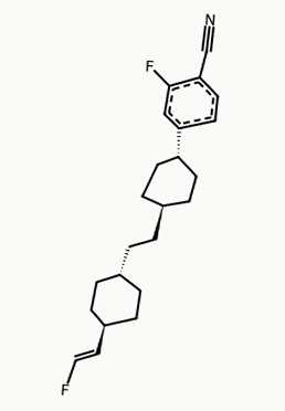 N#Cc1ccc([C@H]2CC[C@H](CC[C@H]3CC[C@H](C=CF)CC3)CC2)cc1F